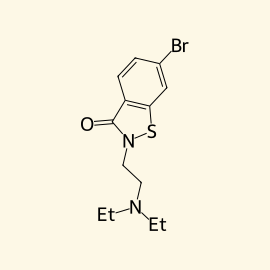 CCN(CC)CCn1sc2cc(Br)ccc2c1=O